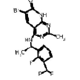 Cc1nc(N[C@H](C)c2cccc(C(F)F)c2F)c2cc(Br)c(=O)[nH]c2n1